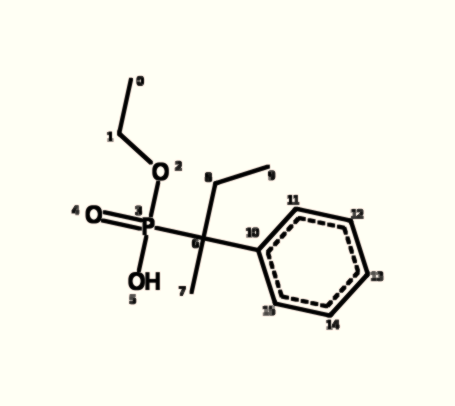 CCOP(=O)(O)C(C)(CC)c1ccccc1